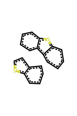 c1ccc2c(c1)sc1ccccc12.c1ccc2sccc2c1